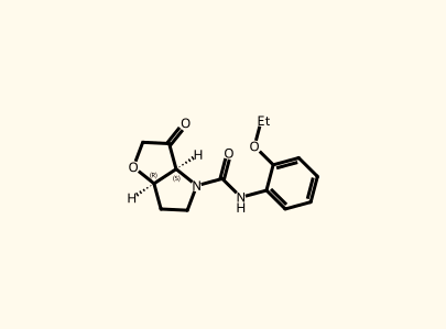 CCOc1ccccc1NC(=O)N1CC[C@H]2OCC(=O)[C@H]21